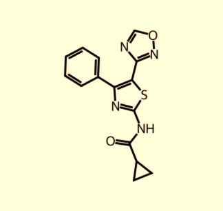 O=C(Nc1nc(-c2ccccc2)c(-c2ncon2)s1)C1CC1